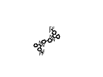 FC(F)(F)c1cccc(-c2nc3cc(-c4ccc5nc(-c6ccccc6)c(-c6cccc(C(F)(F)F)c6)nc5c4)ccc3nc2-c2ccccc2)c1